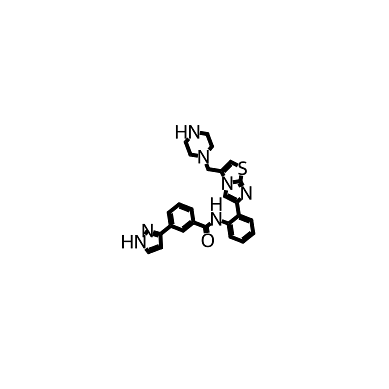 O=C(Nc1ccccc1-c1cn2c(CN3CCNCC3)csc2n1)c1cccc(-c2cc[nH]n2)c1